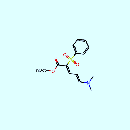 CCCCCCCCOC(=O)/C(=C/C=C/N(C)C)S(=O)(=O)c1ccccc1